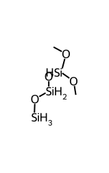 CO[SiH](OC)O[SiH2]O[SiH3]